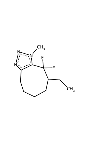 CCC1CCCCc2nnn(C)c2C1(F)F